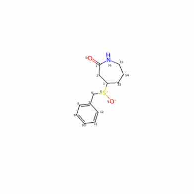 O=C1CC([S+]([O-])Cc2ccccc2)CCCN1